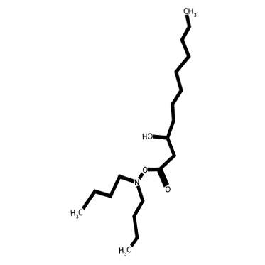 CCCCCCCCC(O)CC(=O)ON(CCCC)CCCC